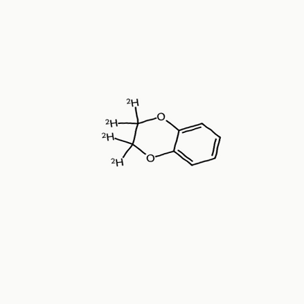 [2H]C1([2H])Oc2ccccc2OC1([2H])[2H]